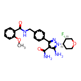 COc1ccccc1C(=O)NCc1ccc(-c2nn([C@H]3CCOC[C@H]3F)c(N)c2C(N)=O)cc1